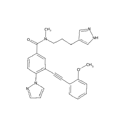 COc1ccccc1C#Cc1cc(C(=O)N(C)CCCc2cn[nH]c2)ccc1-n1cccn1